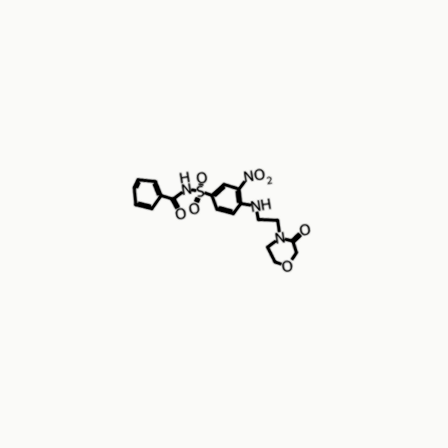 O=C(NS(=O)(=O)c1ccc(NCCN2CCOCC2=O)c([N+](=O)[O-])c1)c1ccccc1